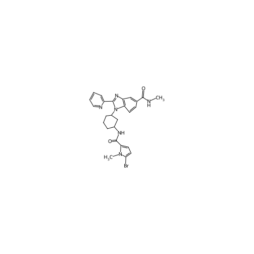 CNC(=O)c1ccc2c(c1)nc(-c1ccccn1)n2C1CCCC(NC(=O)c2ccc(Br)n2C)C1